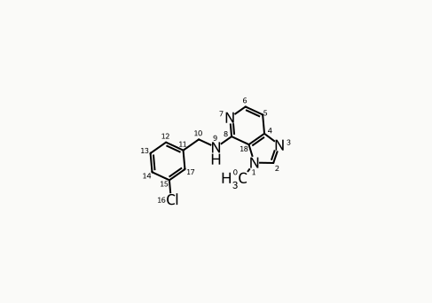 Cn1cnc2ccnc(NCc3cccc(Cl)c3)c21